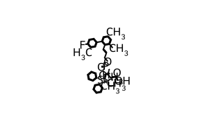 Cc1cc(C)c(C=CCO[PH](=O)C[C@@H](CC(=O)O)O[Si](c2ccccc2)(c2ccccc2)C(C)(C)C)c(-c2ccc(F)c(C)c2)c1